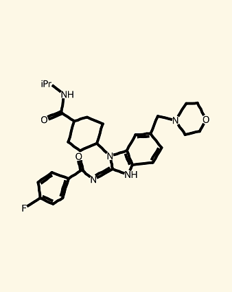 CC(C)NC(=O)C1CCC(n2/c(=N\C(=O)c3ccc(F)cc3)[nH]c3ccc(CN4CCOCC4)cc32)CC1